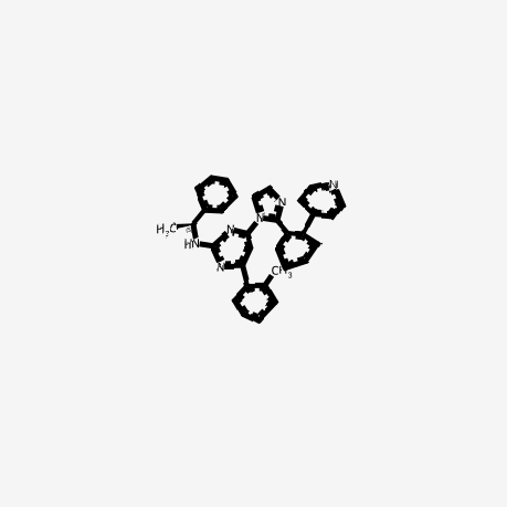 Cc1ccccc1-c1cc(-n2ccnc2-c2ccccc2-c2ccncc2)nc(N[C@@H](C)c2ccccc2)n1